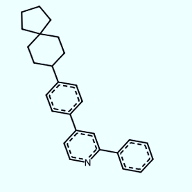 c1ccc(-c2cc(-c3ccc(C4CCC5(CCCC5)CC4)cc3)ccn2)cc1